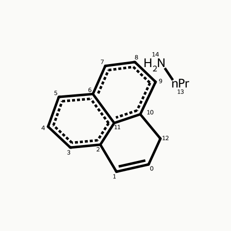 C1=Cc2cccc3cccc(c23)C1.CCCN